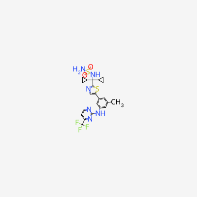 Cc1cc(Nc2nccc(C(F)(F)F)n2)cc(-c2cnc(C(NS(N)(=O)=O)(C3CC3)C3CC3)s2)c1